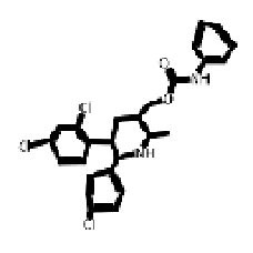 CC1NC(c2ccc(Cl)cc2)C(c2ccc(Cl)cc2Cl)CC1COC(=O)Nc1ccccc1